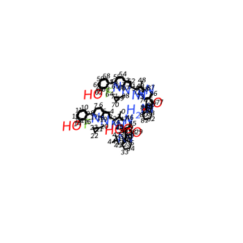 Cc1c(-c2cc3ccc(-c4cccc(O)c4F)nc3n2CC2CC2)nn2cc(C(=O)N3CC4CCC3[C@@H]4N(C(=O)O)C(C)(C)C)cnc12.Cc1c(-c2cc3ccc(-c4cccc(O)c4F)nc3n2CC2CC2)nn2cc(C(=O)N3CC4CCC3[C@@H]4N)cnc12